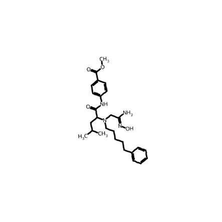 COC(=O)c1ccc(NC(=O)C(CC(C)C)N(CCCCCc2ccccc2)CC(N)=NO)cc1